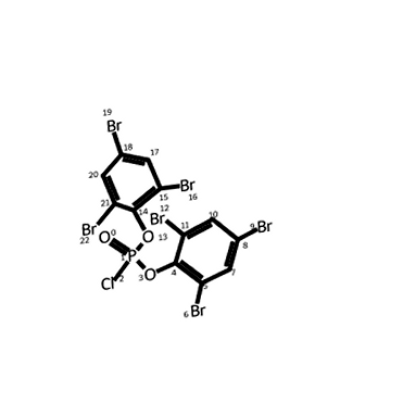 O=P(Cl)(Oc1c(Br)cc(Br)cc1Br)Oc1c(Br)cc(Br)cc1Br